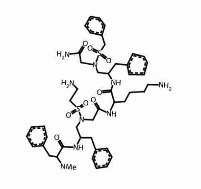 CNC(Cc1ccccc1)C(=O)NC(Cc1ccccc1)CN(CC(=O)NC(CCCCN)C(=O)NC(Cc1ccccc1)CN(CC(N)=O)S(=O)(=O)Cc1ccccc1)S(=O)(=O)CCN